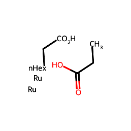 CCC(=O)O.CCCCCCCC(=O)O.[Ru].[Ru]